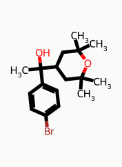 CC1(C)CC(C(C)(O)c2ccc(Br)cc2)CC(C)(C)O1